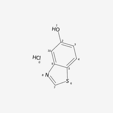 Cl.Oc1ccc2scnc2c1